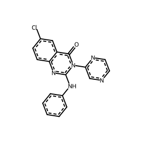 O=c1c2cc(Cl)ccc2nc(Nc2ccccc2)n1-c1cnccn1